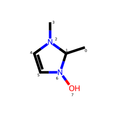 CC1N(C)C=CN1O